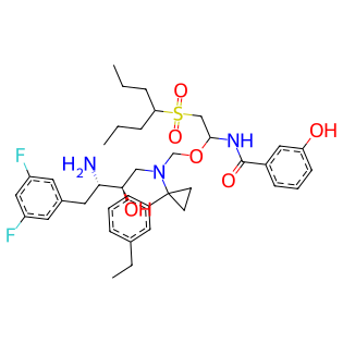 CCCC(CCC)S(=O)(=O)CC(NC(=O)c1cccc(O)c1)OCN(C[C@@H](O)[C@@H](N)Cc1cc(F)cc(F)c1)C1(c2cccc(CC)c2)CC1